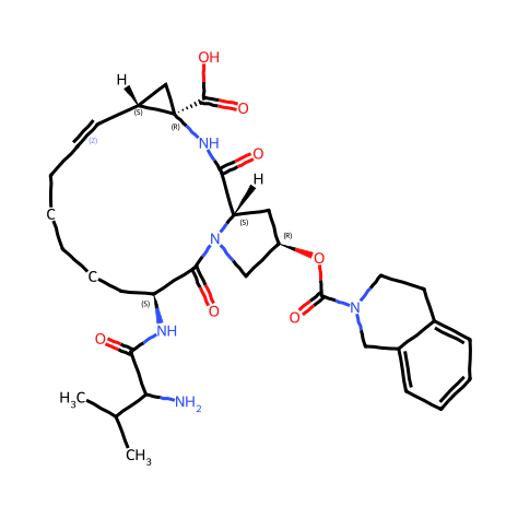 CC(C)C(N)C(=O)N[C@H]1CCCCC/C=C\[C@@H]2C[C@@]2(C(=O)O)NC(=O)[C@@H]2C[C@@H](OC(=O)N3CCc4ccccc4C3)CN2C1=O